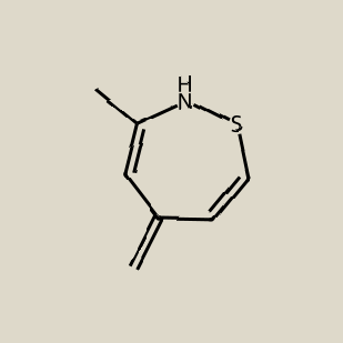 C=C1C=CSNC(C)=C1